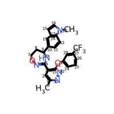 Cc1cc(C2=NOCCC(c3ccc4c(ccn4C)c3)N2)c(Oc2cccc(C(F)(F)F)c2)nn1